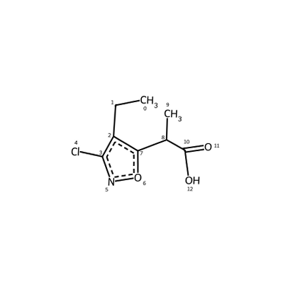 CCc1c(Cl)noc1C(C)C(=O)O